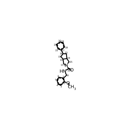 COc1ccccc1CNC(=O)N1CC2CC(c3ccccc3)CC2C1